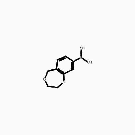 OB(O)c1ccc2c(c1)OCCOC2